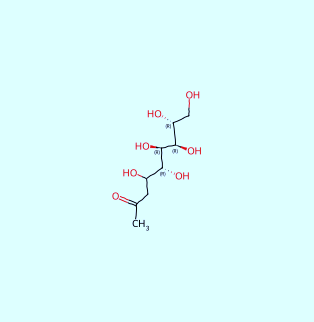 CC(=O)CC(O)[C@@H](O)[C@@H](O)[C@H](O)[C@H](O)CO